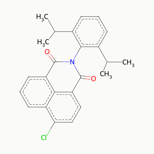 CC(C)c1cccc(C(C)C)c1N1C(=O)c2cccc3c(Cl)ccc(c23)C1=O